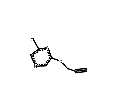 C#CCOc1cncc(Cl)n1